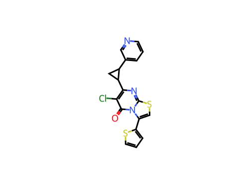 O=c1c(Cl)c(C2CC2c2cccnc2)nc2scc(-c3cccs3)n12